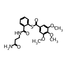 COc1cc(C(=O)Sc2ccccc2C(=O)NCCC(N)=O)cc(OC)c1OC